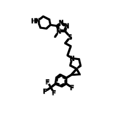 Cn1c(SCCCN2CC[C@]3(CC3c3ccc(C(F)(F)F)cc3F)C2)nnc1C1CCNCC1